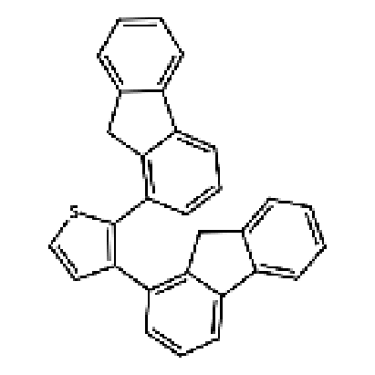 c1ccc2c(c1)Cc1c-2cccc1-c1ccsc1-c1cccc2c1Cc1ccccc1-2